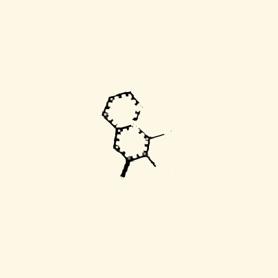 Cc1c(C(F)(F)F)n2ncccc2cc1=O